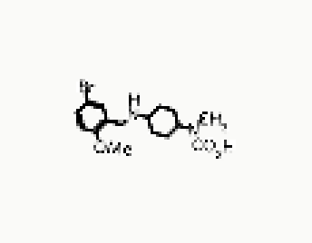 COc1ccc(Br)cc1CNC1CCC(N(C)C(=O)O)CC1